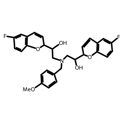 COc1ccc(CN(CC(O)C2C=Cc3cc(F)ccc3O2)CC(O)C2C=Cc3cc(F)ccc3O2)cc1